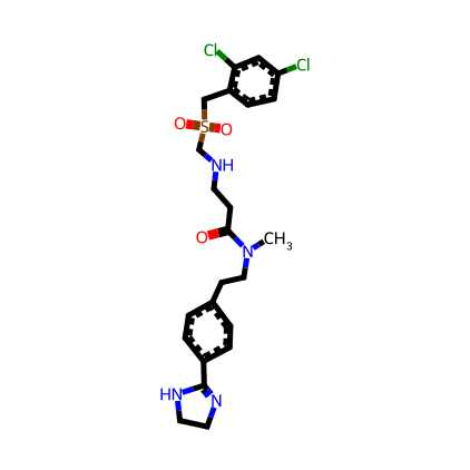 CN(CCc1ccc(C2=NCCN2)cc1)C(=O)CCNCS(=O)(=O)Cc1ccc(Cl)cc1Cl